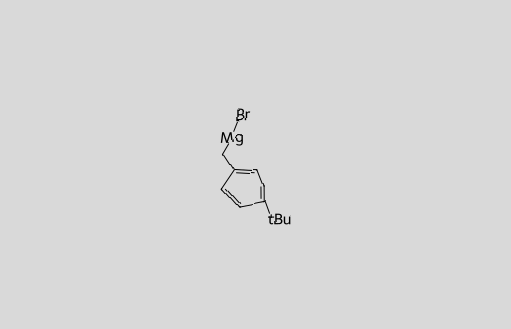 CC(C)(C)c1ccc([CH2][Mg][Br])cc1